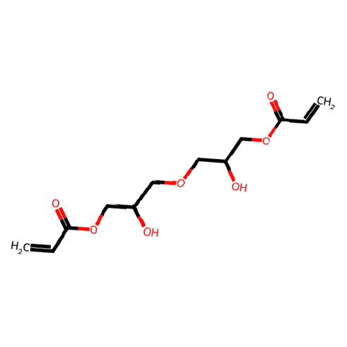 C=CC(=O)OCC(O)COCC(O)COC(=O)C=C